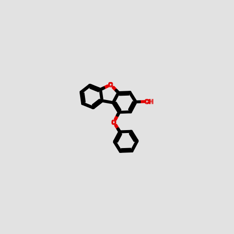 Oc1cc(Oc2ccccc2)c2c(c1)oc1ccccc12